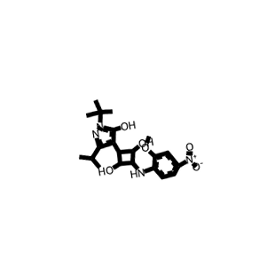 COc1cc([N+](=O)[O-])ccc1NC1C(O)C(c2c(C(C)C)nn(C(C)(C)C)c2O)C1O